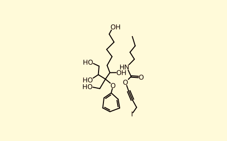 CCCCNC(=O)OC#CCI.OCCCCCC(O)C(CO)(Oc1ccccc1)C(O)CO